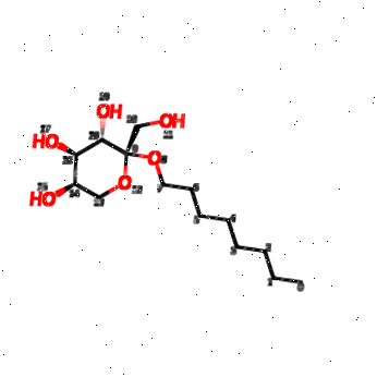 CCCCCCCCO[C@]1(CO)OC[C@@H](O)[C@@H](O)[C@@H]1O